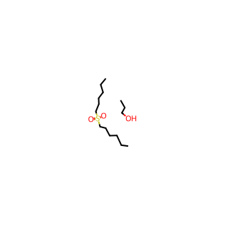 CCCCCCS(=O)(=O)CCCCCC.CCCO